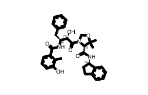 Cc1c(O)cccc1C(=O)N[C@@H](Cc1ccccc1)[C@H](O)C(=O)N1COC(C)(C)[C@H]1C(=O)N[C@H]1CCc2ccccc21